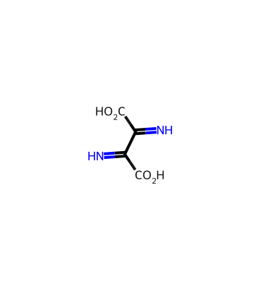 N=C(C(=N)C(=O)O)C(=O)O